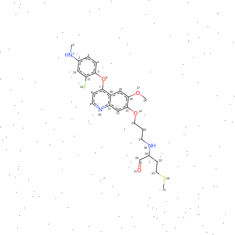 CNc1ccc(Oc2ccnc3cc(OCCCNC(C=O)CCSC)c(OC)cc23)c(F)c1